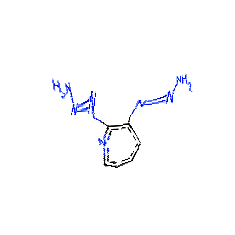 NN=Nc1cccnc1N=NN